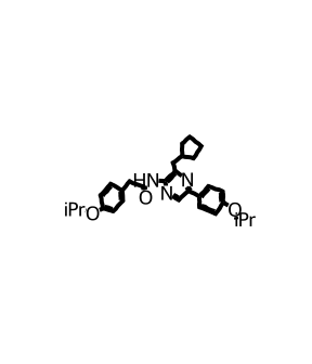 CC(C)Oc1ccc(CC(=O)Nc2ncc(-c3ccc(OC(C)C)cc3)nc2CC2CCCC2)cc1